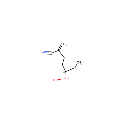 C=C(C#N)CC[C@@H](BO)CC